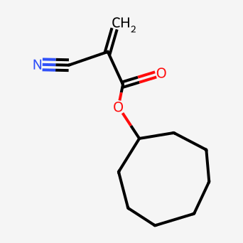 C=C(C#N)C(=O)OC1CCCCCCC1